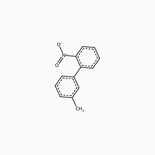 Cc1cccc(-c2ccccc2[N+](=O)[O-])c1